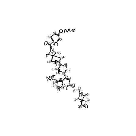 COc1ccc(C(=O)N2CC3(C2)CN(c2ccc(-c4cc(OCCN5CC6(COC6)C5)cn5ncc(C#N)c45)cn2)C3)cc1